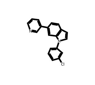 Clc1cccc(-n2ccc3ccc(-c4cccnc4)cc32)c1